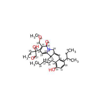 C=C1/C(=C\c2c(C(C)CC)ccc(O)c2CCCCC)Cn2c1cc(C(O)(C=O)CC)c(COC)c2=O